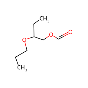 CCCOC(CC)CO[C]=O